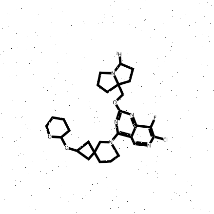 [2H]C1CCC2(COc3nc(N4CCCC5(CC(OC6CCCCO6)C5)C4)c4cnc(Cl)c(F)c4n3)CCCN12